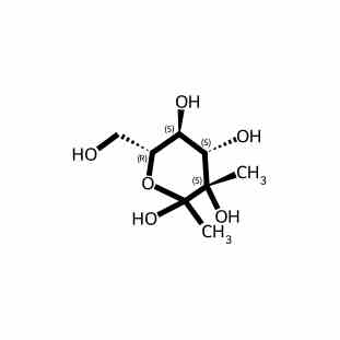 CC1(O)O[C@H](CO)[C@@H](O)[C@H](O)[C@]1(C)O